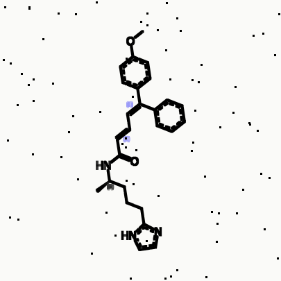 COc1ccc(/C(=C/C=C/C(=O)N[C@H](C)CCCc2ncc[nH]2)c2ccccc2)cc1